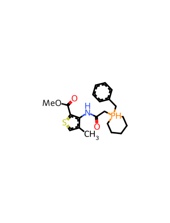 COC(=O)c1scc(C)c1NC(=O)C[PH]1(Cc2ccccc2)CCCCC1